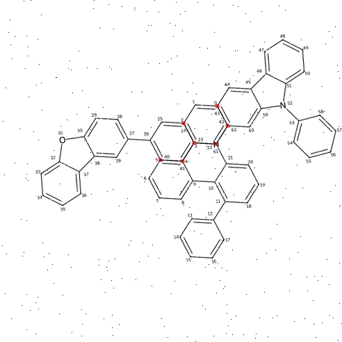 c1ccc(-c2ccccc2-c2c(-c3ccccc3)cccc2N(c2ccc(-c3ccc4oc5ccccc5c4c3)cc2)c2ccc3c4ccccc4n(-c4ccccc4)c3c2)cc1